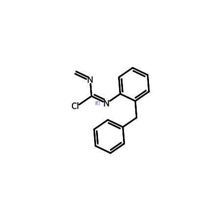 C=N/C(Cl)=N\c1ccccc1Cc1ccccc1